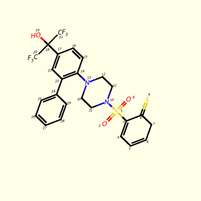 O=S(=O)(C1=CC=CCC1=S)N1CCN(c2ccc(C(O)(C(F)(F)F)C(F)(F)F)cc2-c2ccccc2)CC1